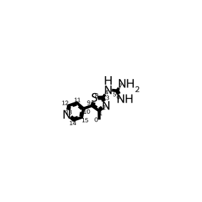 Cc1nc(NC(=N)N)sc1-c1ccncc1